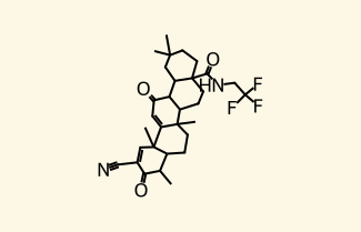 CC1C(=O)C(C#N)=CC2(C)C3=CC(=O)C4C(CCC5(C(=O)NCC(F)(F)F)CCC(C)(C)CC45)C3(C)CCC12